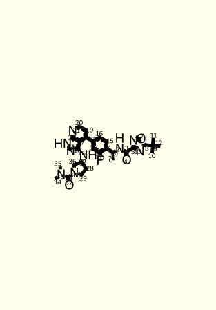 C[C@H](NC(=O)c1noc(C(C)(C)C)n1)c1ccc(-c2ccnc3[nH]nc(N[C@@H]4CCN(C(=O)N(C)C)C4)c23)cc1F